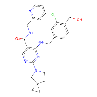 O=C(NCc1ccccn1)c1cnc(N2CCC3(CC3)C2)nc1NCc1ccc(CO)c(Cl)c1